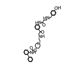 O=C(CCNCc1ccc(O)cc1)Nc1cccc(C(=O)CNCCN2CCC(OC(=O)Nc3ccccc3-c3ccccc3)CC2)c1